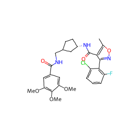 COc1cc(C(=O)NCC2CC[C@H](NC(=O)c3c(-c4c(F)cccc4Cl)noc3C)C2)cc(OC)c1OC